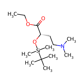 CCOC(=O)[C@H](CCN(C)C)O[Si](C)(C)C(C)(C)C